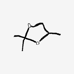 C[C]1COC(C)(C)O1